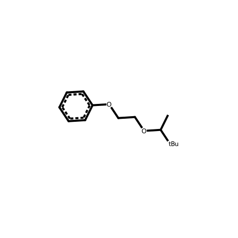 CC(OCCOc1ccccc1)C(C)(C)C